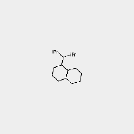 CC(C)C(C(C)C)C1CCCC2CCCCC21